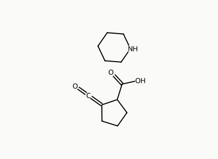 C1CCNCC1.O=C=C1CCCC1C(=O)O